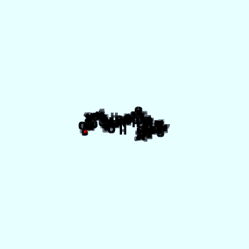 CC[C@H](C)[C@@H]([C@@H](CC(=O)N1CCC[C@H]1[C@H](OC)[C@@H](C)C(=O)NSc1ccc(NC(=O)CNC(=O)C(NC(=O)CC(C)(C)COCC(C)(C)CN2C(=O)CC(SC)C2=O)C(C)C)cc1)OC)N(C)C(=O)CNC(=O)C(NC)C(C)C